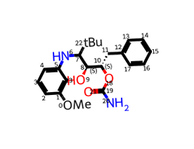 COc1cccc(NC([C@H](O)[C@H](Cc2ccccc2)OC(N)=O)C(C)(C)C)c1